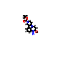 CC(C)(C)OC(=O)N1CCc2c(c3cccc4c3n2CCC(=O)N4)C1